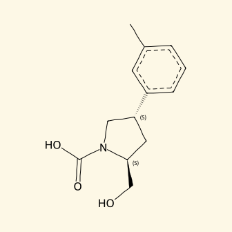 Cc1cccc([C@@H]2C[C@@H](CO)N(C(=O)O)C2)c1